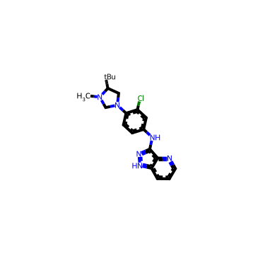 CN1CN(c2ccc(Nc3n[nH]c4cccnc34)cc2Cl)CC1C(C)(C)C